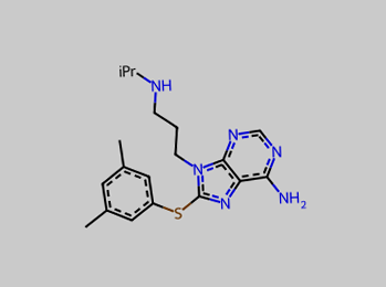 Cc1cc(C)cc(Sc2nc3c(N)ncnc3n2CCCNC(C)C)c1